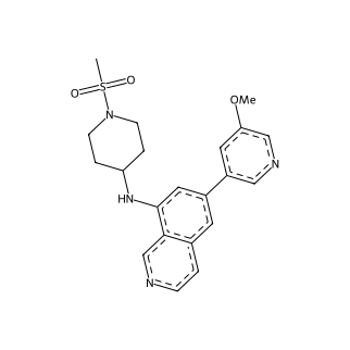 COc1cncc(-c2cc(NC3CCN(S(C)(=O)=O)CC3)c3cnccc3c2)c1